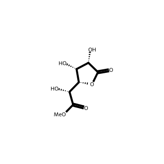 COC(=O)[C@H](O)[C@H]1OC(=O)[C@@H](O)[C@H]1O